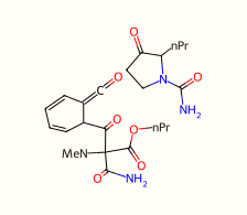 CCCC1C(=O)CCN1C(N)=O.CCCOC(=O)C(NC)(C(N)=O)C(=O)C1C=CC=CC1=C=O